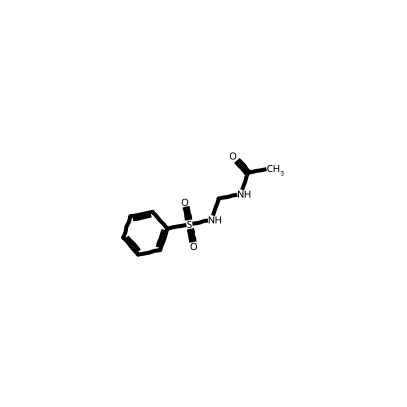 CC(=O)NCNS(=O)(=O)c1ccccc1